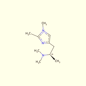 Cc1nc(C[C@@H](C)N(C)C)cn1C